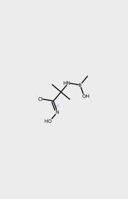 CB(O)NC(C)(C)/C(Cl)=N/O